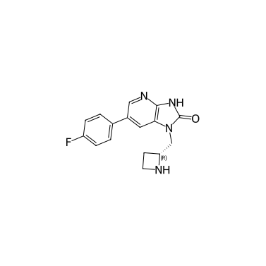 O=c1[nH]c2ncc(-c3ccc(F)cc3)cc2n1C[C@H]1CCN1